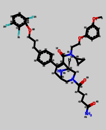 COc1cccc(OCCN(C(=O)C2=C(c3ccc(CCCOc4c(F)ccc(F)c4F)cc3)CC3CN(C(=O)CCCC(N)=O)C[C@H]2N3)C2CC2)c1